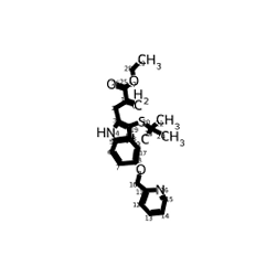 C=C(Cc1[nH]c2ccc(OCc3ccccn3)cc2c1SC(C)(C)C)C(=O)OCC